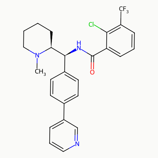 CN1CCCC[C@H]1[C@@H](NC(=O)c1cccc(C(F)(F)F)c1Cl)c1ccc(-c2cccnc2)cc1